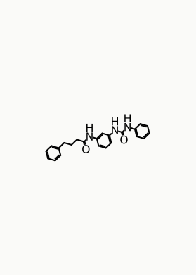 O=C(CCCc1ccccc1)Nc1cccc(NC(=O)Nc2ccccc2)c1